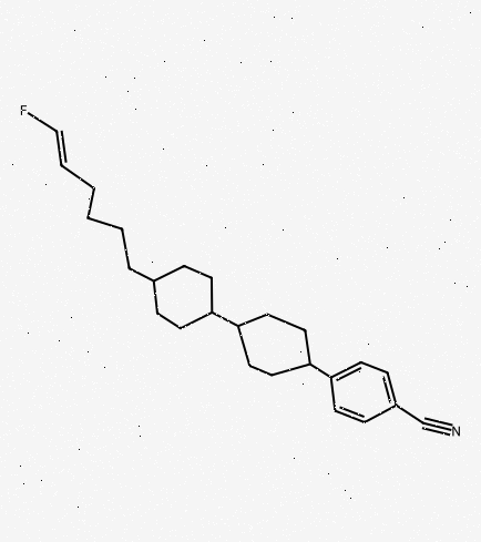 N#Cc1ccc(C2CCC(C3CCC(CCCCC=CF)CC3)CC2)cc1